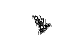 CC(C)[C@@H](c1ccc(F)cc1)N1C(=O)[C@@H]2C[C@H]1CN2C[C@H](NC(=O)OC(C)(C)C)C(=O)N1[C@H](C#N)C[C@@H]2C[C@@H]21